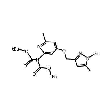 CCn1nc(COc2cc(C)nc(N(C(=O)OC(C)(C)C)C(=O)OC(C)(C)C)c2)cc1C